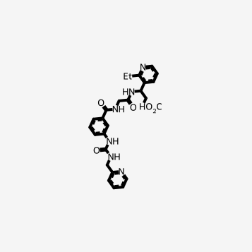 CCc1ncccc1C(CC(=O)O)NC(=O)CNC(=O)c1cccc(NC(=O)NCc2ccccn2)c1